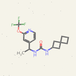 CC(NC(=O)NC1CC2(CCC2)C1)c1ccnc(OC(F)(F)F)c1